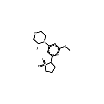 CSc1nc(C2CCCS2(=O)=O)cc(N2CCOC[C@H]2C)n1